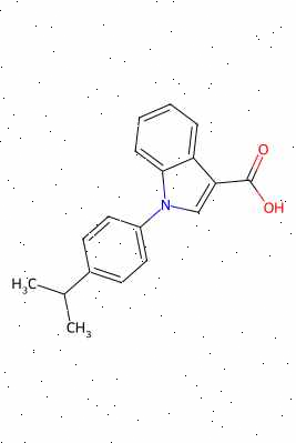 CC(C)c1ccc(-n2cc(C(=O)O)c3ccccc32)cc1